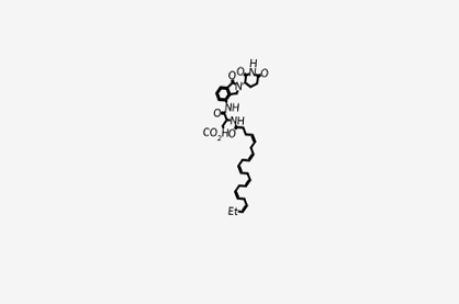 CC/C=C\C/C=C\C/C=C\C/C=C\C/C=C\C/C=C\CCC(=O)NC(CC(=O)O)C(=O)Nc1cccc2c1CN([C@H]1CCC(=O)NC1=O)C2=O